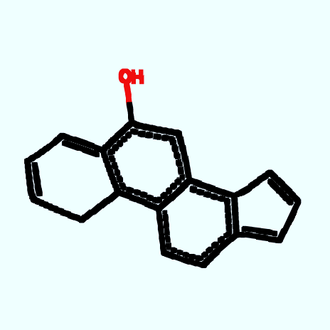 Oc1cc2c3c(ccc2c2c1=CC=CC2)=CC=C3